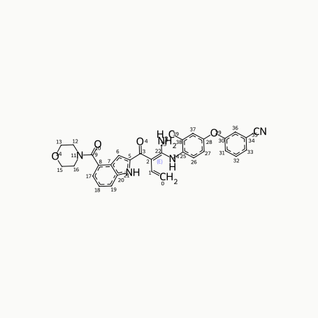 C=C/C(C(=O)c1cc2c(C(=O)N3CCOCC3)cccc2[nH]1)=C(/N)Nc1ccc(Oc2cccc(C#N)c2)cc1C